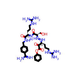 N=C(N)c1ccc(CNC(=O)[C@H](CCCNC(N)N)NC(=O)[C@H](CO)NN[C@@H](CCCNC(N)N)C(=O)C(=O)Oc2ccccc2)cc1